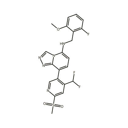 COc1cccc(F)c1CNc1ccc(-c2cnc(S(C)(=O)=O)cc2C(F)F)c2nncn12